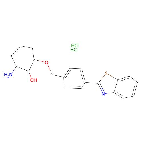 Cl.Cl.NC1CCCC(OCc2ccc(-c3nc4ccccc4s3)cc2)C1O